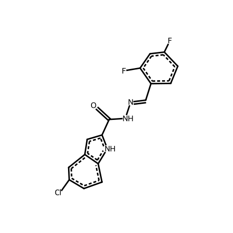 O=C(NN=Cc1ccc(F)cc1F)c1cc2cc(Cl)ccc2[nH]1